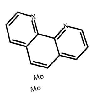 [Mo].[Mo].c1cnc2c(c1)ccc1cccnc12